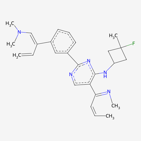 C=C/C(=C\N(C)C)c1cccc(-c2ncc(C(/C=C\C)=N/C)c(NC3CC(C)(F)C3)n2)c1